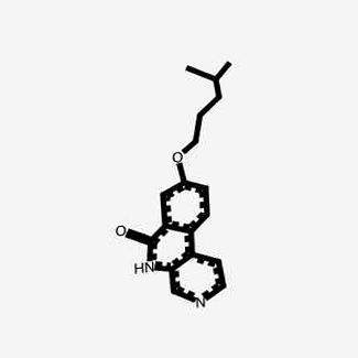 CC(C)CCCOc1ccc2c(c1)c(=O)[nH]c1cnccc12